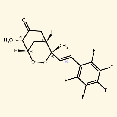 C[C@@H]1C(=O)C[C@H]2C[C@@H]1OO[C@@]2(C)/C=C/c1c(F)c(F)c(F)c(F)c1F